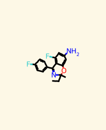 CCC1(C)N=C(c2ccc(F)cc2)c2c(F)cc(N)cc2O1